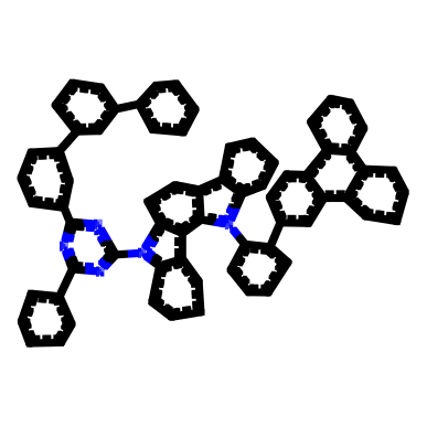 c1ccc(-c2cccc(-c3cccc(-c4nc(-c5ccccc5)nc(-n5c6ccccc6c6c5ccc5c7ccccc7n(-c7ccccc7-c7ccc8c9ccccc9c9ccccc9c8c7)c56)n4)c3)c2)cc1